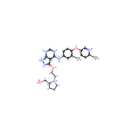 Cc1ccc(Oc2ccc(Nc3ncnc4[nH]nc(OCCN5CCC[C@H]5CO)c34)cc2C)cn1